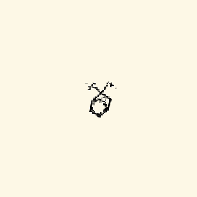 CC1(C)Cc2ccc1o2